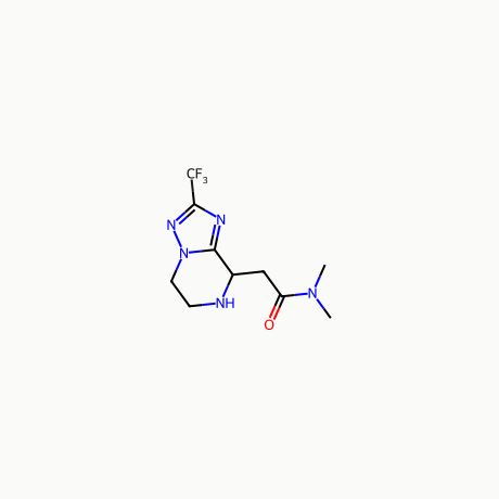 CN(C)C(=O)CC1NCCn2nc(C(F)(F)F)nc21